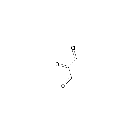 [CH]=CC(=O)C=O